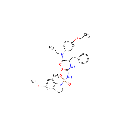 CCOc1ccc(N(CC)C(=O)C(Cc2ccccc2)NC(=O)NS(=O)(=O)N2CCc3cc(OC)cc(C)c32)cc1